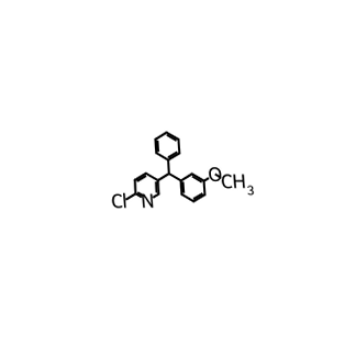 COc1cccc(C(c2ccccc2)c2ccc(Cl)nc2)c1